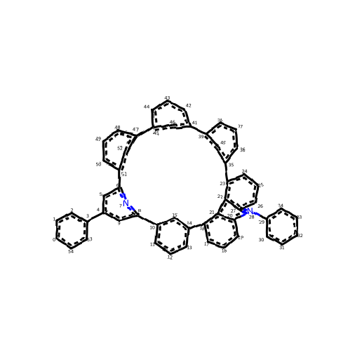 c1ccc(-c2cc3nc(c2)-c2cccc(c2)-c2cccc4c2c2c(cccc2n4-c2ccccc2)-c2cccc(c2)-c2cccc(c2)-c2cccc-3c2)cc1